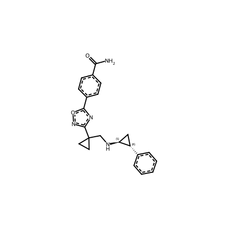 NC(=O)c1ccc(-c2nc(C3(CN[C@H]4C[C@@H]4c4ccccc4)CC3)no2)cc1